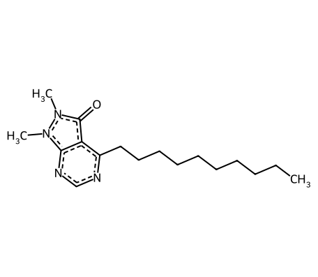 CCCCCCCCCCc1ncnc2c1c(=O)n(C)n2C